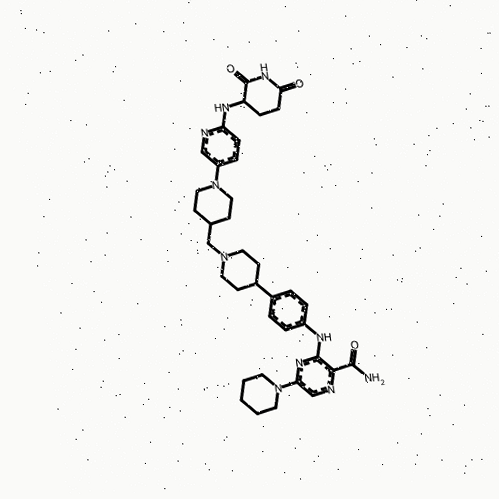 NC(=O)c1ncc(N2CCCCC2)nc1Nc1ccc(C2CCN(CC3CCN(c4ccc(NC5CCC(=O)NC5=O)nc4)CC3)CC2)cc1